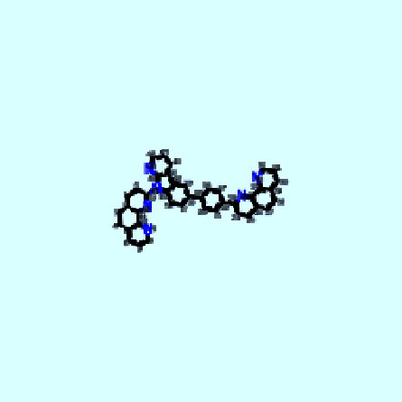 C1=CC2C=Cc3cccnc3C2N=C1n1c2ccc(-c3ccc(-c4ccc5ccc6cccnc6c5n4)cc3)cc2c2cccnc21